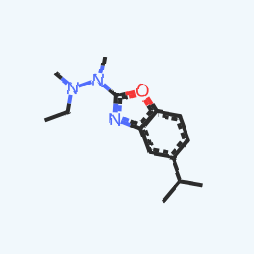 CCN(C)N(C)c1nc2cc(C(C)C)ccc2o1